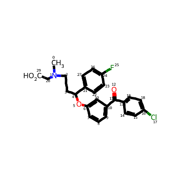 CN(CCC(Oc1cccc(C(=O)c2ccc(Cl)cc2)c1)c1ccc(F)cc1)CC(=O)O